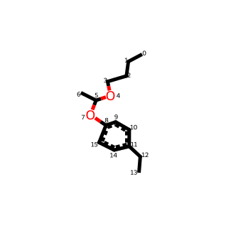 CCCCOC(C)Oc1ccc(CC)cc1